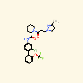 CC1=NN(CCC(=O)N2CCCC[C@@H]2C(=O)Nc2ccc(C3CC=CC=C3OC(F)(F)F)c(Cl)c2)CC1